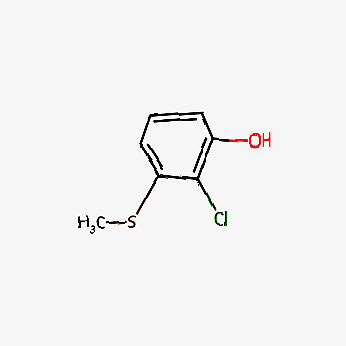 CSc1cccc(O)c1Cl